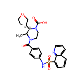 CC1[C@@H]([C@@H]2CCOC2)N(C(=O)O)CCN1C(=O)c1ccc(NS(=O)(=O)c2cccc3cccnc23)cc1